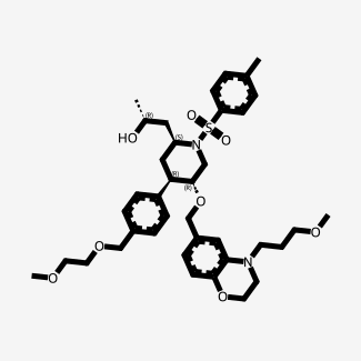 COCCCN1CCOc2ccc(CO[C@H]3CN(S(=O)(=O)c4ccc(C)cc4)[C@H](C[C@@H](C)O)C[C@@H]3c3ccc(COCCOC)cc3)cc21